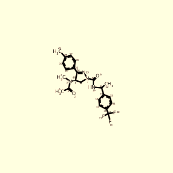 CC(=O)N(C)[C@@H]1CN(C(=O)NC(C)c2ccc(C(F)(F)F)cc2)N=C1c1ccc(C)cc1